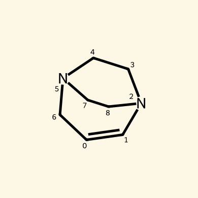 C1=CN2CCN(C1)CC2